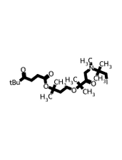 CN(CC(=O)C(C)(C)OCCC(C)(C)OC(=O)CCC(=O)C(C)(C)C)C(C)(C)CI